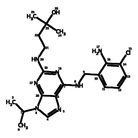 CC(C)n1cnc2c(NCc3cccc(Cl)c3N)nc(NCCC(C)(C)O)nc21